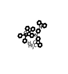 CC1(C)c2ccccc2-c2ccc(N(c3ccc(-n4c5ccccc5c5ccccc54)cc3)c3ccc4c(c3)C(c3ccccc3)(c3ccccc3)c3oc(-c5ccccc5)c(-c5ccccc5)c3-4)cc21